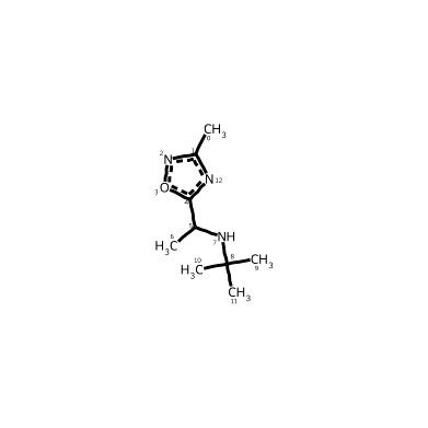 Cc1noc(C(C)NC(C)(C)C)n1